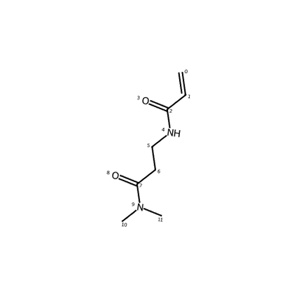 C=CC(=O)NCCC(=O)N(C)C